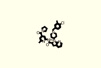 Cc1cc(C(=O)N2CCCC2)cc(NC(=O)C2Cc3cccnc3N2C2CCN(Cc3ccc(Cl)c(C)c3)CC2)n1